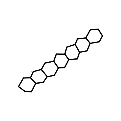 [CH]1C2CCCCC2CC2CC3CC4CC5CC6CCCCC6CC5CC4CC3CC12